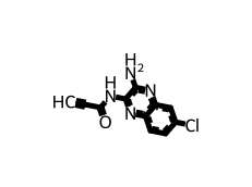 C#CC(=O)Nc1nc2ccc(Cl)cc2nc1N